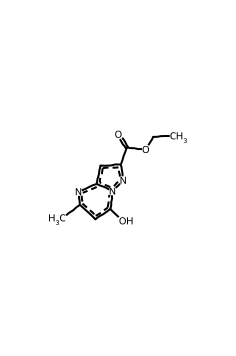 CCOC(=O)c1cc2nc(C)cc(O)n2n1